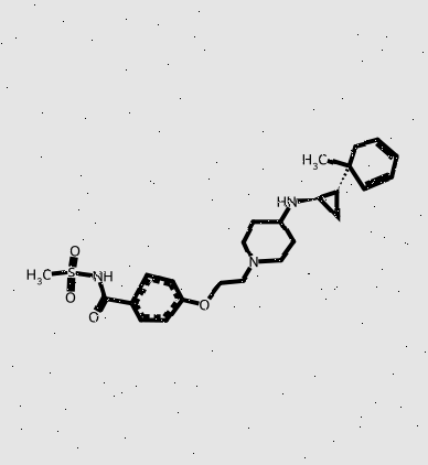 CC1([C@@H]2C[C@H]2NC2CCN(CCOc3ccc(C(=O)NS(C)(=O)=O)cc3)CC2)C=CC=CC1